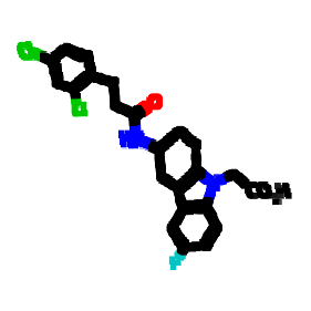 O=C(O)Cn1c2c(c3cc(F)ccc31)CC(NC(=O)CCc1ccc(Cl)cc1Cl)CC2